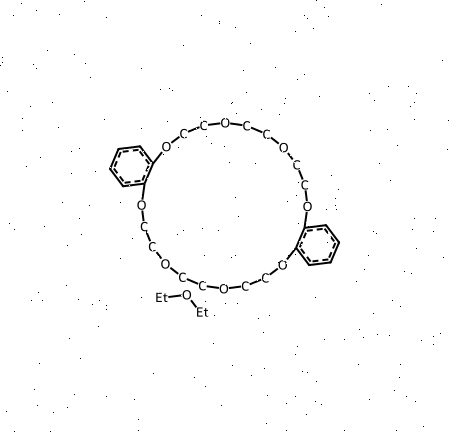 CCOCC.c1ccc2c(c1)OCCOCCOCCOc1ccccc1OCCOCCOCCO2